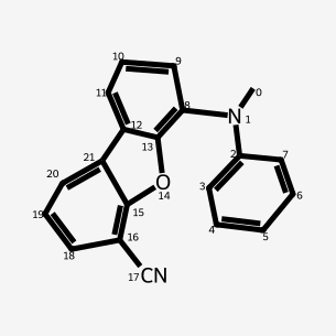 CN(c1ccccc1)c1cccc2c1oc1c(C#N)cccc12